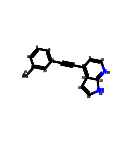 CC(=O)c1cccc(C#Cc2ccnc3[nH]ccc23)c1